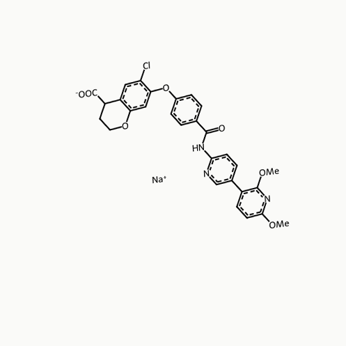 COc1ccc(-c2ccc(NC(=O)c3ccc(Oc4cc5c(cc4Cl)C(C(=O)[O-])CCO5)cc3)nc2)c(OC)n1.[Na+]